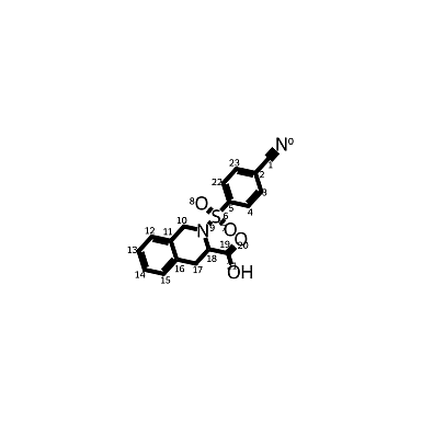 N#Cc1ccc(S(=O)(=O)N2Cc3ccccc3CC2C(=O)O)cc1